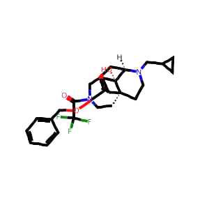 O=C(N1CC[C@]23CCN(CC4CC4)[C@H](Cc4ccc(OCc5ccccc5)cc42)[C@]3(O)CC1)C(F)(F)F